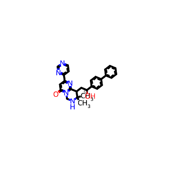 CC1(C)NCn2c(nc(-c3ccncn3)cc2=O)C1C[C@H](O)c1ccc(-c2ccccc2)cc1